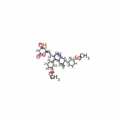 COSc1cccc(-c2cc3ncc(/C=C/[C@@H]4C[C@@H](O)CC(=O)O4)c(-c4cccc(SOC)c4)c3cc2F)c1